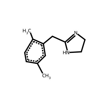 Cc1ccc(C)c(CC2=NCCN2)c1